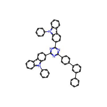 c1ccc(-c2cccc(-c3ccc(-c4nc(-c5ccc6c7ccccc7n(-c7ccccc7)c6c5)nc(-c5ccc6c7ccccc7n(-c7ccccc7)c6c5)n4)cc3)c2)cc1